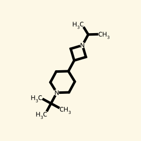 CC(C)N1CC(C2CCN(C(C)(C)C)CC2)C1